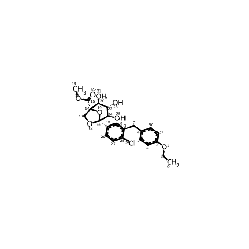 CCOc1ccc(Cc2cc([C@]34OC[C@](C(=O)OC)(O3)[C@@H](O)[C@H](O)[C@H]4O)ccc2Cl)cc1